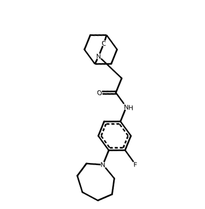 O=C(CN1CC2CCC1CC2)Nc1ccc(N2CCCCCC2)c(F)c1